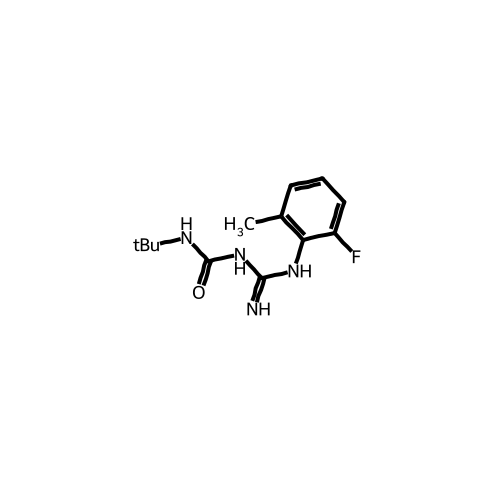 Cc1cccc(F)c1NC(=N)NC(=O)NC(C)(C)C